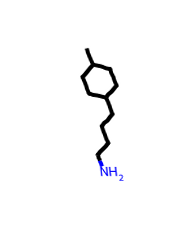 CC1CCC(CCCCN)CC1